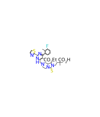 CCOC(=O)C1=C(CN2CCN3C(=S)N(CCC(C)(C)C(=O)O)CC3C2)NC(c2nccs2)=N[C@H]1c1cccc(F)c1C